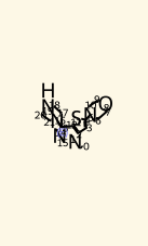 C=Nc1cc(N2CCOCC2)sc1/C(=N\C)N1CCNCC1